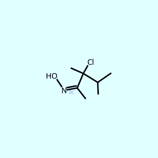 C/C(=N/O)C(C)(Cl)C(C)C